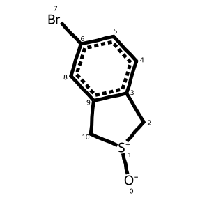 [O-][S+]1Cc2ccc(Br)cc2C1